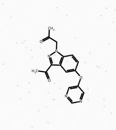 CC(=O)Cn1nc(C(C)=O)c2cc(Oc3cncnc3)ccc21